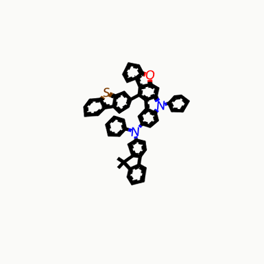 CC1(C)c2ccccc2-c2ccc(N(c3ccccc3)c3ccc4c(c3)c3c(-c5ccc6c(c5)sc5ccccc56)c5c(cc3n4-c3ccccc3)oc3ccccc35)cc21